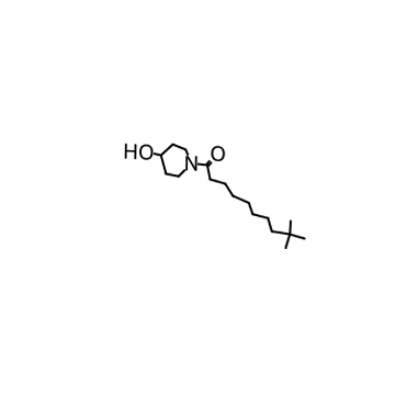 CC(C)(C)CCCCCCCC(=O)N1CCC(O)CC1